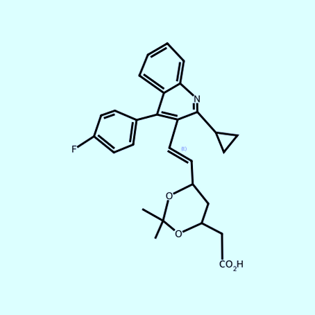 CC1(C)OC(/C=C/c2c(C3CC3)nc3ccccc3c2-c2ccc(F)cc2)CC(CC(=O)O)O1